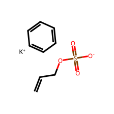 C=CCOS(=O)(=O)[O-].[K+].c1ccccc1